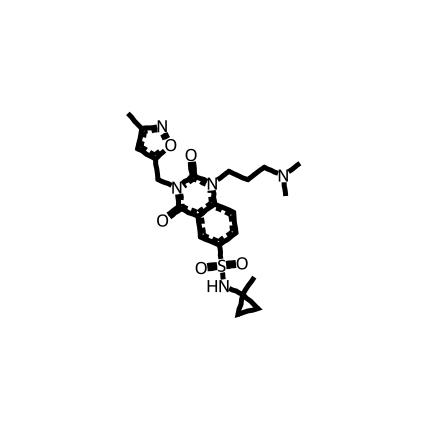 Cc1cc(Cn2c(=O)c3cc(S(=O)(=O)NC4(C)CC4)ccc3n(CCCN(C)C)c2=O)on1